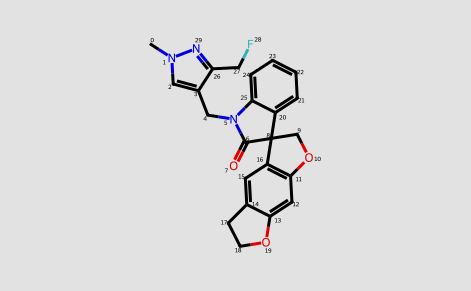 Cn1cc(CN2C(=O)C3(COc4cc5c(cc43)CCO5)c3ccccc32)c(CF)n1